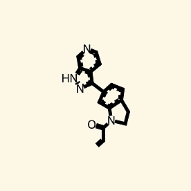 C=CC(=O)N1CCc2ccc(-c3n[nH]c4cnccc34)cc21